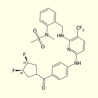 CN(c1ccccc1CNc1nc(Nc2ccc(C(=O)C3C[C@@H](F)[C@@H](F)C3)cc2)ccc1C(F)(F)F)S(C)(=O)=O